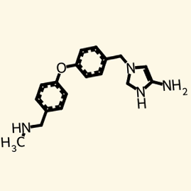 CNCc1ccc(Oc2ccc(CN3C=C(N)NC3)cc2)cc1